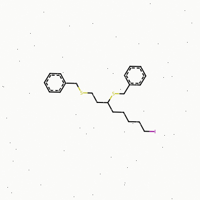 ICCCCCC(CCSCc1ccccc1)SCc1ccccc1